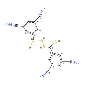 N#Cc1cc(C#N)cc(C(=S)SSC(=S)c2cc(C#N)cc(C#N)c2)c1